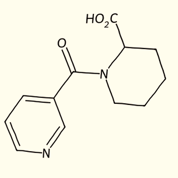 O=C(O)C1CCCCN1C(=O)c1cccnc1